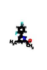 CC(=O)c1cc(C)cc(-c2ccc(F)cc2F)n1